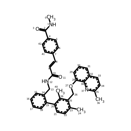 CNC(=O)c1ccc(C=CC(=O)NCc2ccccc2-c2ccc(C)c(COc3cccc4ccc(C)nc34)c2C)cc1